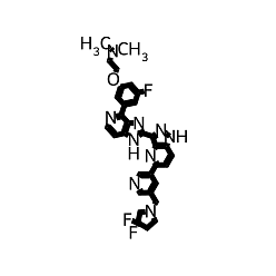 CN(C)CCOc1cc(F)cc(-c2nccc3[nH]c(-c4n[nH]c5ccc(-c6cncc(CN7CCC(F)(F)C7)c6)nc45)nc23)c1